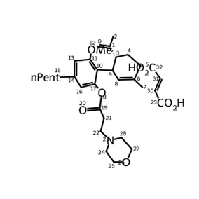 C=C(C)[C@@H]1CCC(C)=CC1c1c(OC)cc(CCCCC)cc1OC(=O)CCN1CCOCC1.O=C(O)C=CC(=O)O